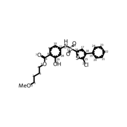 COCCCCOC(=O)c1ccc(NS(=O)(=O)c2cc(-c3ccccc3)c(Cl)s2)cc1O